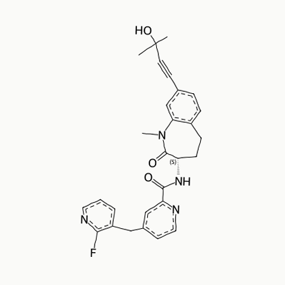 CN1C(=O)[C@@H](NC(=O)c2cc(Cc3cccnc3F)ccn2)CCc2ccc(C#CC(C)(C)O)cc21